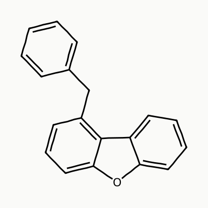 c1ccc(Cc2cccc3oc4ccccc4c23)cc1